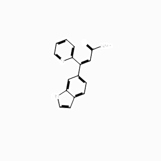 CNC(=O)C=C(c1ccc2cc[nH]c2c1)c1ccccn1